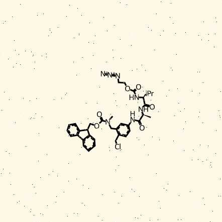 CC(C)[C@H](NC(=O)OCCN=[N+]=[N-])C(=O)N[C@@H](C)C(=O)Nc1ccc(CCl)c(CN(C)C(=O)OCC2c3ccccc3-c3ccccc32)c1